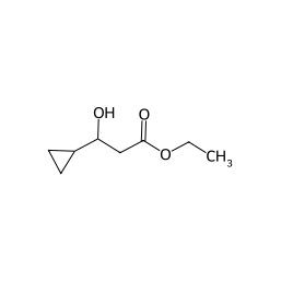 CCOC(=O)CC(O)C1CC1